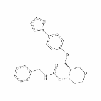 O=C(NCc1ccccc1)O[C@H]1CCOC[C@@H]1COc1ccc(-n2cccn2)cc1